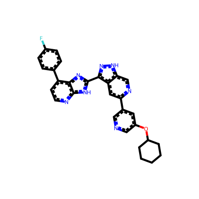 Fc1ccc(-c2ccnc3[nH]c(-c4n[nH]c5cnc(-c6cncc(OC7CCCCC7)c6)cc45)nc23)cc1